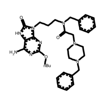 CCCCOc1nc(N)c2[nH]c(=O)n(CCCN(Cc3ccccc3)C(=O)CN3CCN(Cc4ccccc4)CC3)c2n1